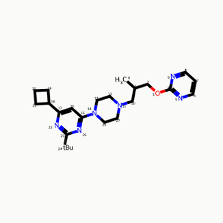 CC(COc1ncccn1)CN1CCN(c2cc(C3CCC3)nc(C(C)(C)C)n2)CC1